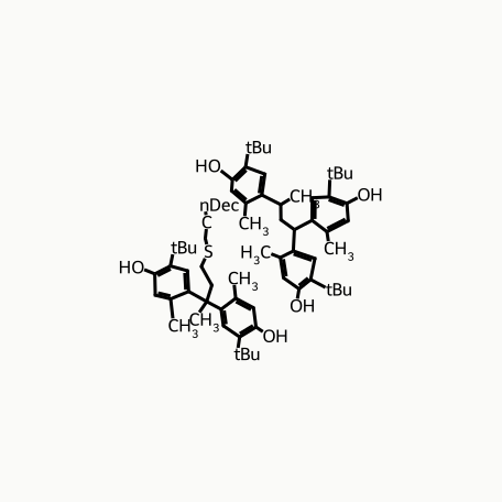 CCCCCCCCCCCCSCCC(C)(c1cc(C(C)(C)C)c(O)cc1C)c1cc(C(C)(C)C)c(O)cc1C.Cc1cc(O)c(C(C)(C)C)cc1C(C)CC(c1cc(C(C)(C)C)c(O)cc1C)c1cc(C(C)(C)C)c(O)cc1C